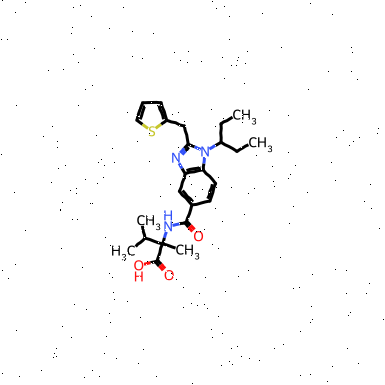 CCC(CC)n1c(Cc2cccs2)nc2cc(C(=O)NC(C)(C(=O)O)C(C)C)ccc21